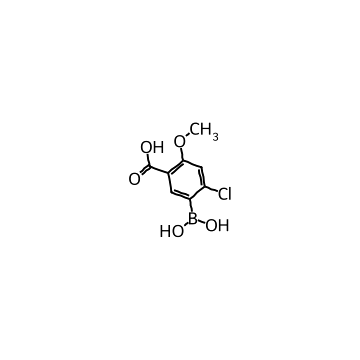 COc1cc(Cl)c(B(O)O)cc1C(=O)O